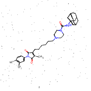 CC1=C(CCCCCCN2CCN(C(=O)NC34CC5CC(CC(C5)C3)C4)CC2)C(=O)N(c2ccc(C#N)c(C(F)(F)F)c2)C1=O